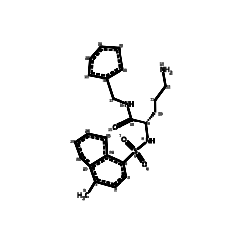 Cc1ccc(S(=O)(=O)N[C@@H](CCCN)C(=O)NCc2ccccc2)c2ccccc12